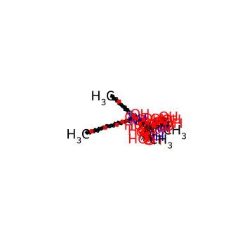 CCCCCCCCCCCCC/C=C/[C@@H](O)[C@H](CO[C@@H]1OC(CO)[C@@H](O[C@@H]2OC(CO)[C@H](O[C@@H]3OC(CO)[C@H](O)[C@H](O)C3NC(C)=O)[C@H](O[C@H]3OC(CO)[C@H](O)[C@H](O[C@@H]4OC(CO)[C@@H](O)[C@H](O)C4NC(C)=O)C3O)C2O)[C@H](O)C1O)NC(=O)CCCCCCCCCCCCCCCCCCCCCCC